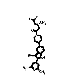 Cc1cc(-c2[nH]c3ccc(C4CCN(C(=O)CN(C)CC(F)F)CC4)cc3c2C(C)C)cc(C)n1